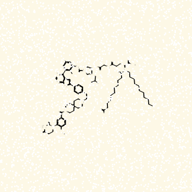 CCCCCCCCCCCN(C(=O)CCCCCCCCCC(=O)O)[C@@H](CCC(=O)NCC(=O)O[C@H]1CN(C(=O)Nc2cc(F)cc(-c3ncnc4[nH]c(-c5ccc(CCN6CCC7(CC6)CCN(C(=O)c6ccc(OC)c(N8CCC(=O)NC8=O)c6)CC7)cc5)cc34)c2C)C[C@@H]1CC(C)C)C(=O)O